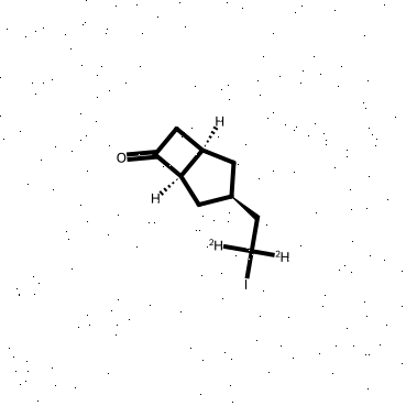 [2H]C([2H])(I)C[C@@H]1C[C@@H]2CC(=O)[C@@H]2C1